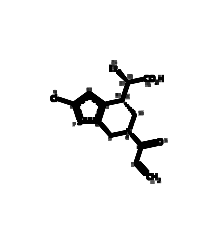 C=CC(=O)N1Cc2sc(Cl)cc2[C@H]([C@@H](CC)C(=O)O)C1